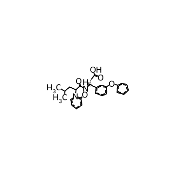 CC(C)CC(C(=O)N[C@H](CC(=O)O)c1cccc(Oc2ccccc2)c1)n1ccccc1=O